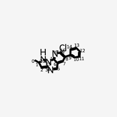 CC1C=C2N=Cc3cc(-c4ccccc4)c(Cl)nc3N2N1